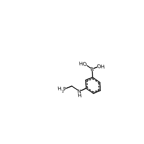 OB(O)c1cccc(NCP)c1